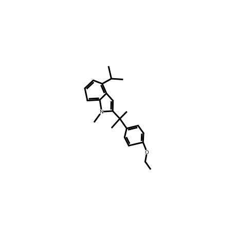 CCOc1ccc(C(C)(C)c2cc3c(C(C)C)cccc3n2C)cc1